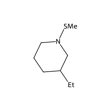 CCC1CCCN(SC)C1